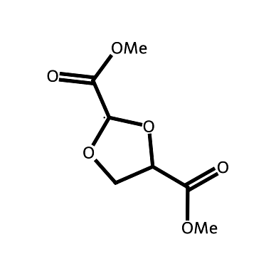 COC(=O)[C]1OCC(C(=O)OC)O1